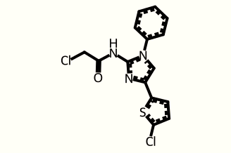 O=C(CCl)Nc1nc(-c2ccc(Cl)s2)cn1-c1ccccc1